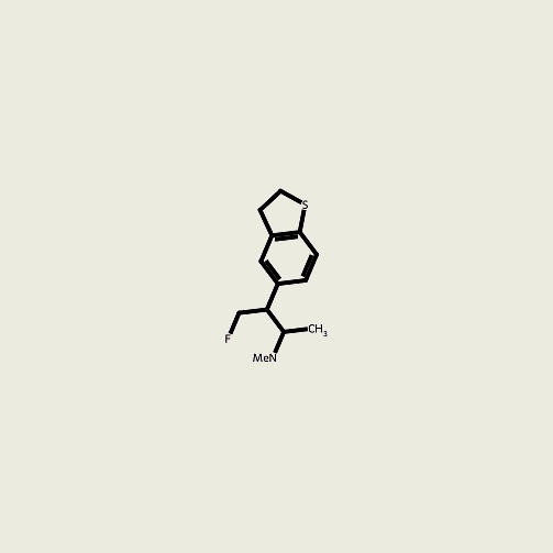 CNC(C)C(CF)c1ccc2c(c1)CCS2